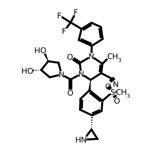 CC1=C(C#N)[C@@H](c2ccc([C@@H]3CN3)cc2S(C)(=O)=O)N(C(=O)N2C[C@H](O)[C@@H](O)C2)C(=O)N1c1cccc(C(F)(F)F)c1